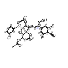 CC(=O)OCC1O[C@H](Sc2cncc(Cl)c2)C(OC(C)=O)C(N/C=C(\N=N)c2cc(F)c(C#N)c(F)c2)[C@H]1OC(C)=O